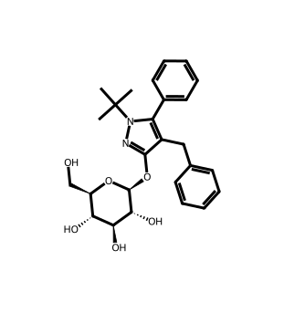 CC(C)(C)n1nc(O[C@@H]2O[C@H](CO)[C@@H](O)[C@H](O)[C@H]2O)c(Cc2ccccc2)c1-c1ccccc1